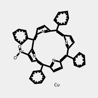 O=[N+]([O-])C1=CC2=C(c3ccccc3)C3=NC(=C(c4ccccc4)C4=NC(=C(c5ccccc5)C5=NC(=C(c6ccccc6)C1=N2)C=C5)C=C4)C=C3.[Cu]